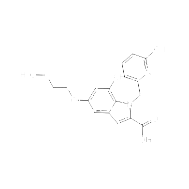 COCCOc1cc(C)c2c(c1)cc(C(=O)O)n2Cc1cccc(C)n1